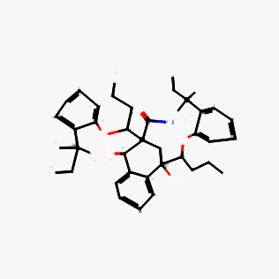 CCCC(Oc1ccccc1C(C)(C)CC)C1(O)CC(C(N)=O)(C(CCC)Oc2ccccc2C(C)(C)CC)C(O)c2ccccc21